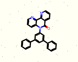 O=c1c2cccnc2c2ncccc2n1-c1cc(-c2ccccc2)cc(-c2ccccc2)c1